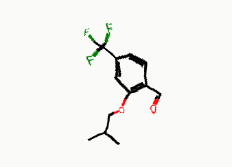 CC(C)COc1cc(C(F)(F)F)ccc1C=O